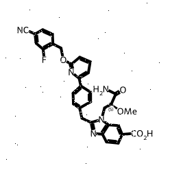 CO[C@@H](Cn1c(Cc2ccc(-c3cccc(OCc4ccc(C#N)cc4F)n3)cc2)nc2ccc(C(=O)O)cc21)C(N)=O